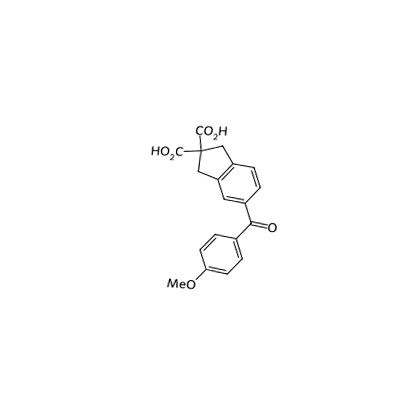 COc1ccc(C(=O)c2ccc3c(c2)CC(C(=O)O)(C(=O)O)C3)cc1